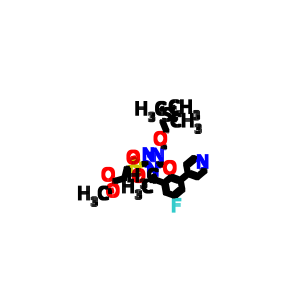 COC(=O)CCS(=O)(=O)c1nc(Oc2c(-c3ccncc3)cc(F)cc2C(C)C)n(COCC[Si](C)(C)C)n1